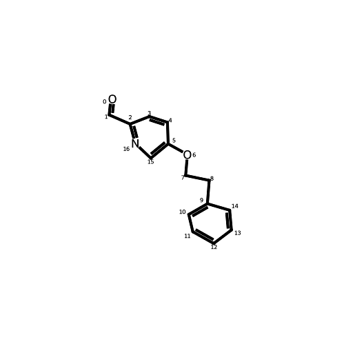 O=Cc1ccc(OCCc2ccccc2)cn1